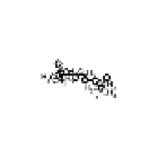 CC1(C)CC2(C)c3cc(-c4ccc5c(c4)C(C)(C)c4cc(-c6ccc7c(c6)C6(C)CC(C)(C)CC6(C)N7c6ccccc6)ccc4-5)ccc3N(c3ccccc3)C2(C)C1